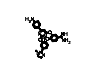 CN1CCN=C1c1cccc(Oc2nc(Oc3cc(C(=N)N)ccc3O)cc(-c3ccc(N)cc3)n2)c1